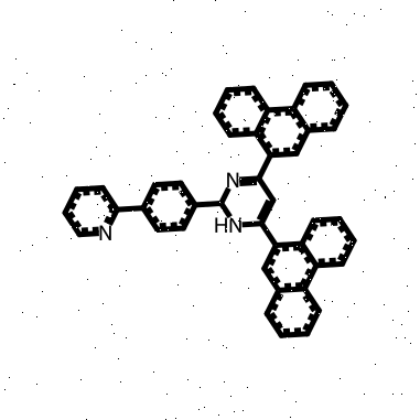 C1=C(c2cc3ccccc3c3ccccc23)NC(c2ccc(-c3ccccn3)cc2)N=C1c1cc2ccccc2c2ccccc12